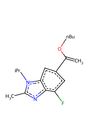 C=C(OCCCC)c1cc(F)c2nc(C)n(C(C)C)c2c1